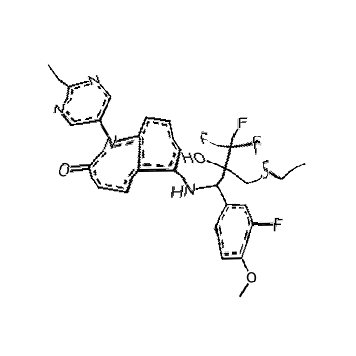 CCSCC(O)(C(Nc1cccc2c1ccc(=O)n2-c1cnc(C)nc1)c1ccc(OC)c(F)c1)C(F)(F)F